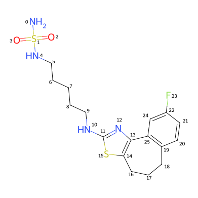 NS(=O)(=O)NCCCCCNc1nc2c(s1)CCCc1ccc(F)cc1-2